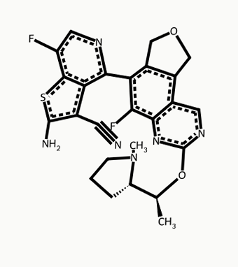 C[C@H](Oc1ncc2c3c(c(-c4ncc(F)c5sc(N)c(C#N)c45)c(F)c2n1)COC3)[C@@H]1CCCN1C